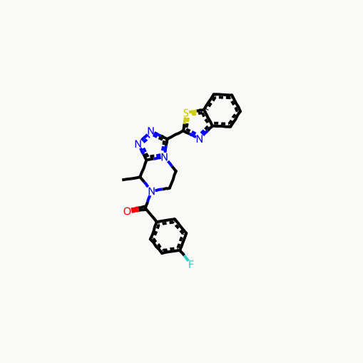 CC1c2nnc(-c3nc4ccccc4s3)n2CCN1C(=O)c1ccc(F)cc1